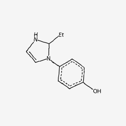 CCC1NC=CN1c1ccc(O)cc1